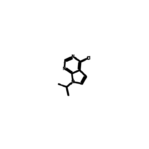 CC(C)n1ccc2c(Cl)ncnc21